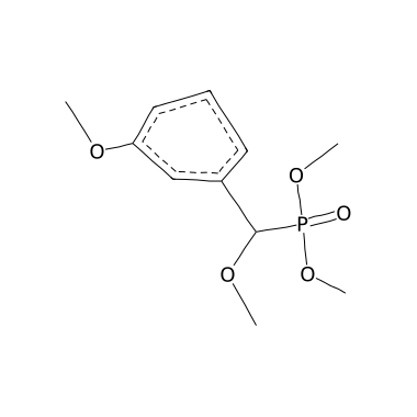 COc1cccc(C(OC)P(=O)(OC)OC)c1